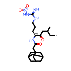 [CH2]CC(C)CC(=O)[C@H](CCCNC(=N)N[N+](=O)[O-])NC(=O)CC12CC3CC(CC(C3)C1)C2